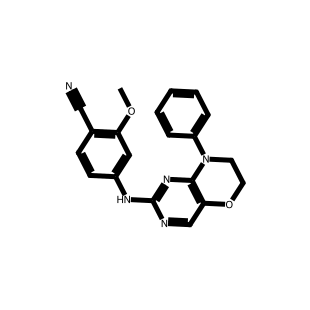 COc1cc(Nc2ncc3c(n2)N(c2ccccc2)CCO3)ccc1C#N